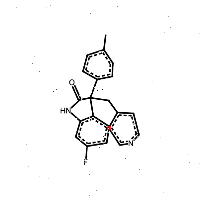 Cc1ccc(C2(Cc3ccncc3)C(=O)Nc3cc(F)ccc32)cc1